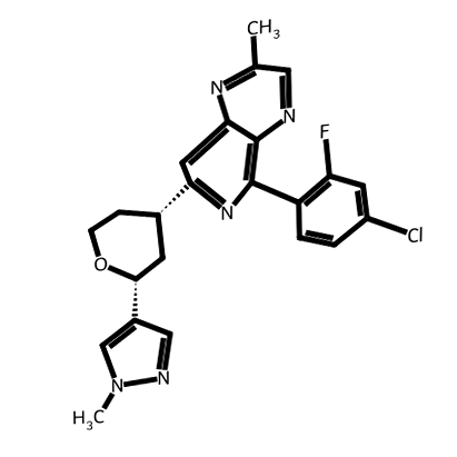 Cc1cnc2c(-c3ccc(Cl)cc3F)nc([C@H]3CCO[C@@H](c4cnn(C)c4)C3)cc2n1